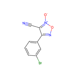 N#Cc1c(-c2cccc(Br)c2)no[n+]1[O-]